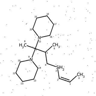 C/C=C\[SiH2]CC(C)C(C)(N1CCCCC1)N1CCCCC1